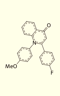 COc1ccc(-n2c(-c3ccc(F)cc3)cc(=O)c3ccccc32)cc1